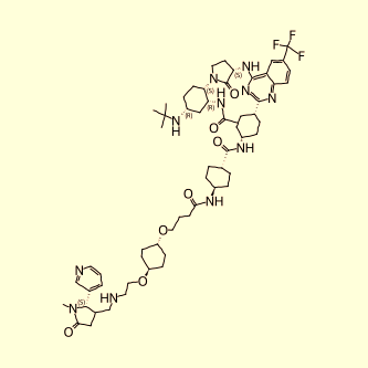 CC(=O)N[C@@H]1C[C@H](NC(C)(C)C)CC[C@@H]1N1CC[C@H](Nc2nc([C@H]3CC[C@@H](NC(=O)[C@H]4CC[C@H](NC(=O)CCCO[C@H]5CC[C@H](OCCNCC6CC(=O)N(C)[C@@H]6c6cccnc6)CC5)CC4)CC3)nc3ccc(C(F)(F)F)cc23)C1=O